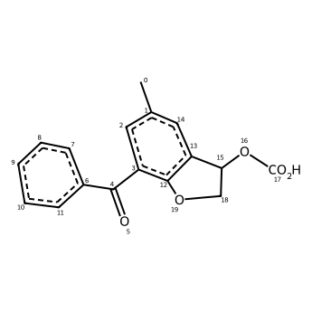 Cc1cc(C(=O)c2ccccc2)c2c(c1)C(OC(=O)O)CO2